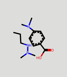 CCCNN(C)C.CN(C)c1ccc(C(=O)O)cc1